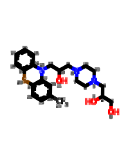 OCC(O)CN1CCN(CC(O)CN2c3ccccc3Sc3ccc(C(F)(F)F)cc32)CC1